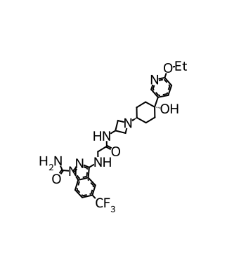 CCOc1ccc([C@]2(O)CC[C@H](N3CC(NC(=O)CNc4nn(C(N)=O)c5ccc(C(F)(F)F)cc45)C3)CC2)cn1